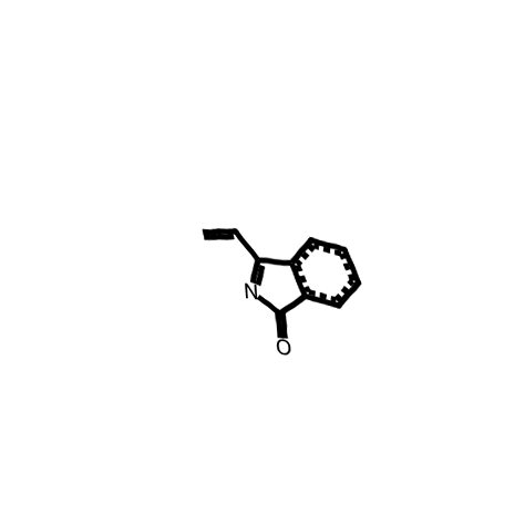 C=CC1=NC(=O)c2ccccc21